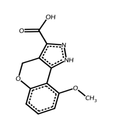 COc1cccc2c1-c1[nH]nc(C(=O)O)c1CO2